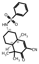 CC1(C)C(=O)C(C#N)=C[C@]2(C)C[C@@H](NS(=O)(=O)c3ccccc3)CC[C@H]12